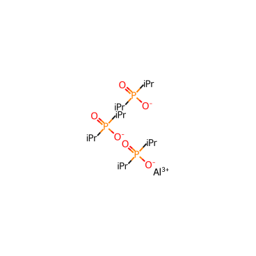 CC(C)P(=O)([O-])C(C)C.CC(C)P(=O)([O-])C(C)C.CC(C)P(=O)([O-])C(C)C.[Al+3]